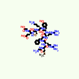 CSCC[C@H](NC(=O)CN)C(=O)N[C@@H](CCCNC(=N)N)C(=O)N[C@@H](Cc1ccccc1)C(=O)N[C@@H](CCCNC(=N)N)C(=O)N[C@@H](Cc1ccc(O)cc1)C(=O)N[C@@H](CCCCN)C(=O)N[C@@H](CS)C(=O)N[C@@H](CCC(=O)O)C(=O)NCC(=O)O